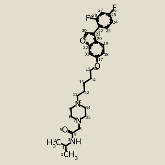 CC(C)NC(=O)CN1CCN(CCCCCOc2ccc3c(-c4ccc(F)cc4F)coc3c2)CC1